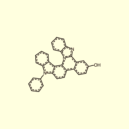 Oc1ccc2c(c1)c1nc3ccccc3n1c1c2ccc2c1c1ccccc1n2-c1ccccc1